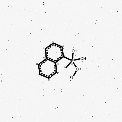 CCOP(C)(O)(O)c1cccc2ccccc12